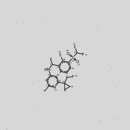 Cc1cc(NC(C)c2cccc(S(=O)(=O)C(F)F)c2F)cc(C2(CF)CC2)n1